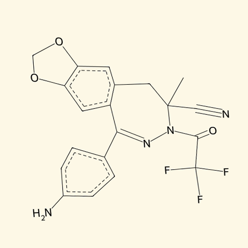 CC1(C#N)Cc2cc3c(cc2C(c2ccc(N)cc2)=NN1C(=O)C(F)(F)F)OCO3